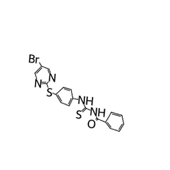 O=C(NC(=S)Nc1ccc(Sc2ncc(Br)cn2)cc1)c1ccccc1